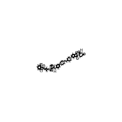 O=C1CC[C@H](N2C(=O)c3ccc(N4CCC(CCN5CCN(c6ccc(Nc7ncnc8c7ncn8C7CC(NC(=O)c8c(Cl)cccc8Cl)C7)cc6)CC5)CC4)cc3C2=O)C(=O)N1